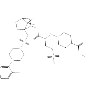 Cc1ccccc1N1CCN(S(=O)(=O)CC23CCC(CC2NC(=O)[C@H](CCS(C)(=O)=O)NN2CCC(C(=O)OC(C)(C)C)CC2)C3(C)C)CC1